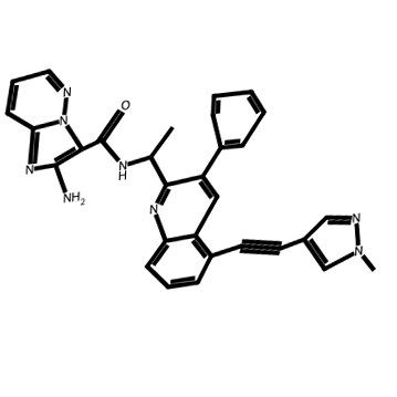 CC(NC(=O)c1c(N)nc2cccnn12)c1nc2cccc(C#Cc3cnn(C)c3)c2cc1-c1ccccc1